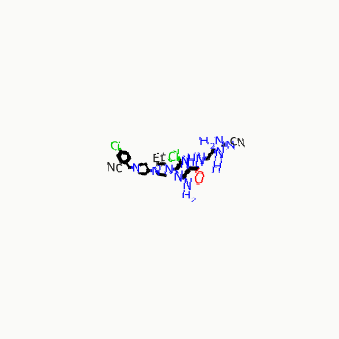 CC[C@H]1CN(c2nc(N)c(C(=O)NCCN/C(N)=N/C#N)nc2Cl)CCN1C1CCN(Cc2ccc(Cl)cc2C#N)CC1